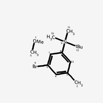 COC.Cc1cc(Br)cc([Si](C)(C)C(C)(C)C)c1